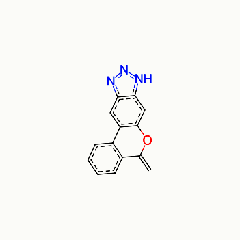 C=C1Oc2cc3[nH]nnc3cc2-c2ccccc21